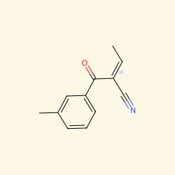 C/C=C(/C#N)C(=O)c1cccc(C)c1